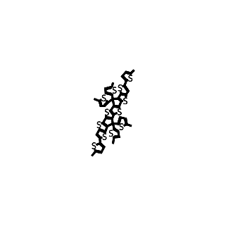 Cc1ccc(-c2cc3sc4c(c3s2)C(c2ccc(C)s2)(c2ccc(C)s2)c2c-4sc3c4c(sc23)-c2sc3cc(-c5ccc(C)s5)sc3c2C4(c2ccc(C)s2)c2ccc(C)s2)s1